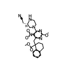 COC(=O)C1(Cc2nc(OC)nc(N3CCN[C@@H](CC#N)C3)c2[N+](=O)[O-])CCCc2ccccc21